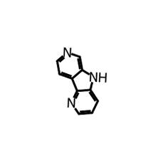 c1cnc2c(c1)[nH]c1cnccc12